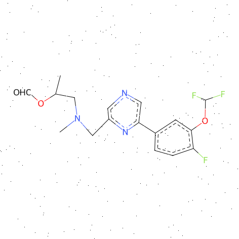 CC(CN(C)Cc1cncc(-c2ccc(F)c(OC(F)F)c2)n1)OC=O